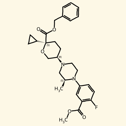 COC(=O)c1cc(N2CCN([C@@H]3CC[C@@](C(=O)OCc4ccccc4)(C4CC4)OC3)C[C@@H]2C)ccc1F